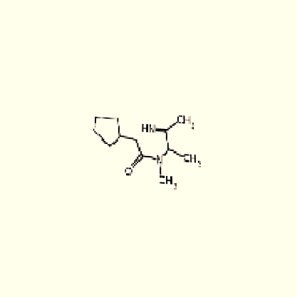 CC(=N)C(C)N(C)C(=O)CC1CCCC1